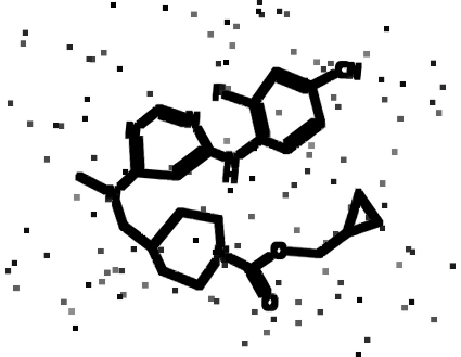 CN(CC1CCN(C(=O)OCC2CC2)CC1)c1cc(Nc2ccc(C#N)cc2F)ncn1